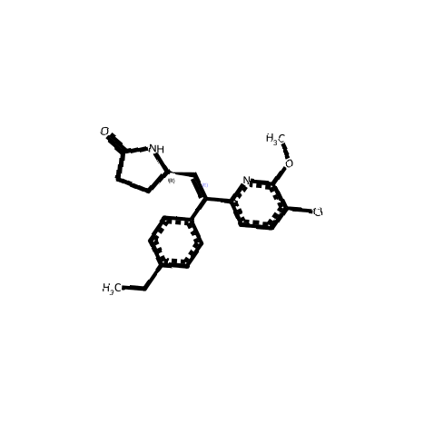 CCc1ccc(/C(=C\[C@H]2CCC(=O)N2)c2ccc(Cl)c(OC)n2)cc1